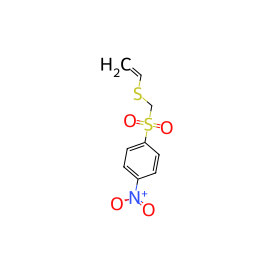 C=CSCS(=O)(=O)c1ccc([N+](=O)[O-])cc1